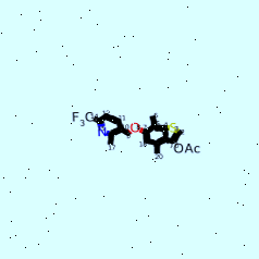 CC(=O)Oc1csc2c(C)c(OCc3ccc(C(F)(F)F)nc3C)cc(C)c12